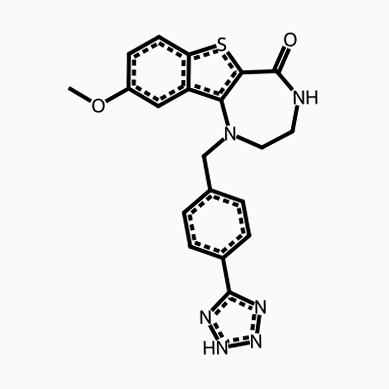 COc1ccc2sc3c(c2c1)N(Cc1ccc(-c2nn[nH]n2)cc1)CCNC3=O